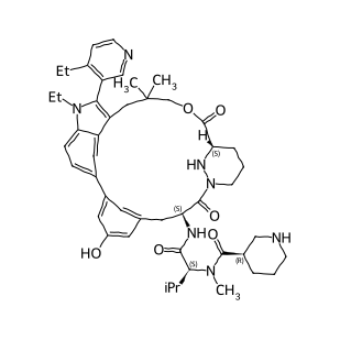 CCc1ccncc1-c1c2c3cc(ccc3n1CC)-c1cc(O)cc(c1)C[C@H](NC(=O)[C@H](C(C)C)N(C)C(=O)[C@@H]1CCCNC1)C(=O)N1CCC[C@H](N1)C(=O)OCC(C)(C)C2